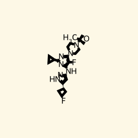 CC1(N2CCN(c3nc(C4CC4)nc(Nc4cc([C@H]5C[C@@H](F)C5)[nH]n4)c3F)CC2)COC1